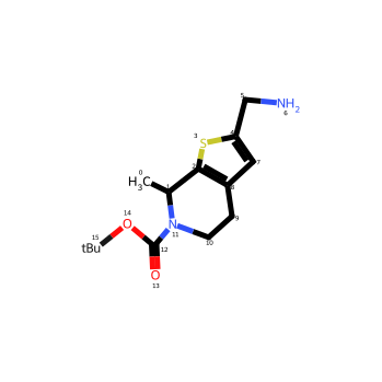 CC1c2sc(CN)cc2CCN1C(=O)OC(C)(C)C